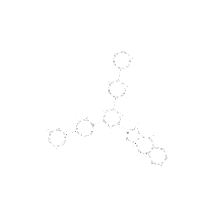 c1cncc(-c2ccc(-c3nc(-c4ccc(-c5cccnc5)nc4)nc(-c4cc5cc6ccccc6cn5n4)n3)cn2)c1